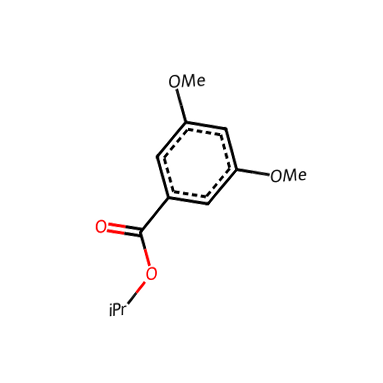 COc1cc(OC)cc(C(=O)OC(C)C)c1